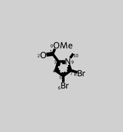 COC(=O)c1cc(Br)c(Br)n1C